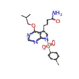 Cc1ccc(S(=O)(=O)n2cc(CC=CC(N)=O)c3c(OCC(C)C)ncnc32)cc1